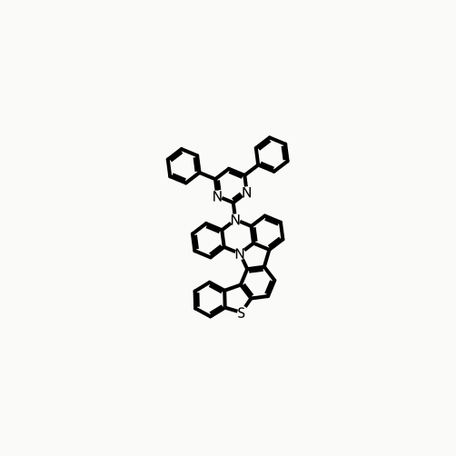 c1ccc(-c2cc(-c3ccccc3)nc(N3c4ccccc4-n4c5c3cccc5c3ccc5sc6ccccc6c5c34)n2)cc1